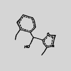 Cc1ccccc1C(O)c1ocnc1C